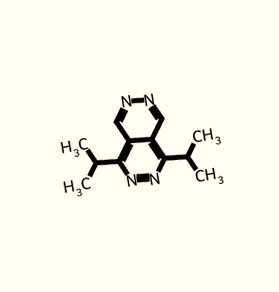 CC(C)c1nnc(C(C)C)c2cnncc12